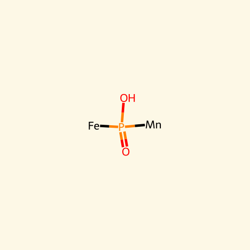 O=[P](O)([Mn])[Fe]